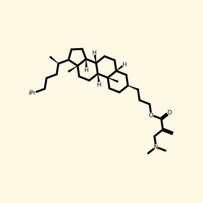 C=C(CN(C)C)C(=O)OCCC[C@H]1CC[C@@]2(C)[C@H](CC[C@@H]3[C@H]2CC[C@]2(C)C([C@H](C)CCCC(C)C)CC[C@H]32)C1